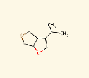 CC(C)C1COC2CSCC21